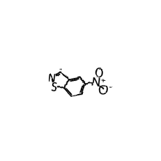 O=[N+]([O-])c1ccc2sn[c]c2c1